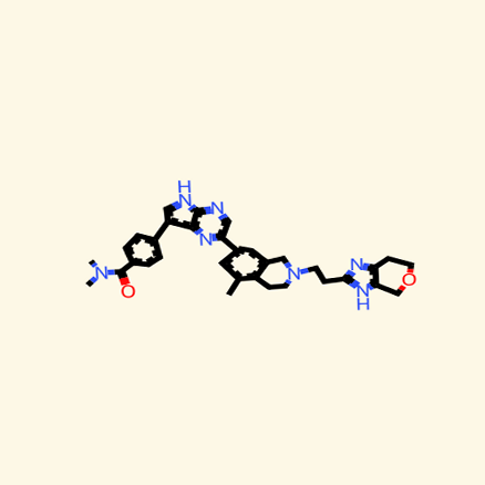 Cc1cc(-c2cnc3[nH]cc(-c4ccc(C(=O)N(C)C)cc4)c3n2)cc2c1CCN(CCc1nc3c([nH]1)COCC3)C2